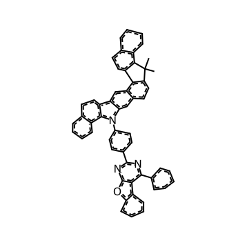 CC1(C)c2ccc3cc4c(cc3c2-c2ccc3ccccc3c21)c1ccc2ccccc2c1n4-c1ccc(-c2nc(-c3ccccc3)c3c(n2)oc2ccccc23)cc1